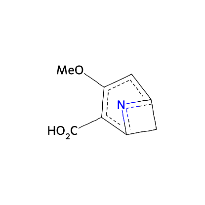 COc1cc2nc(c1C(=O)O)C2